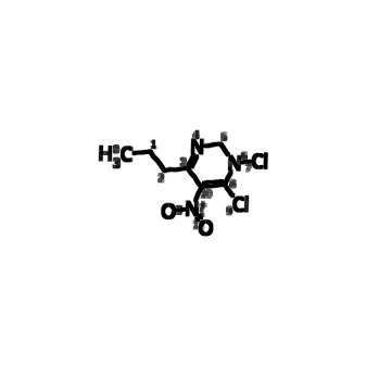 CCCC1=NCN(Cl)C(Cl)=C1[N+](=O)[O-]